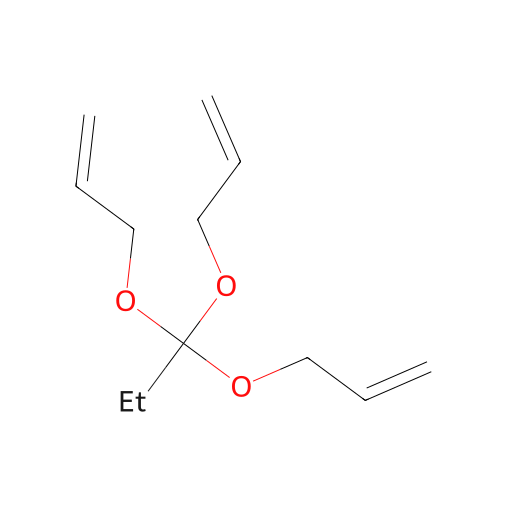 C=CCOC(CC)(OCC=C)OCC=C